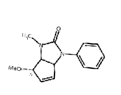 CO[C@H]1C=CC2C1N(C)C(=O)N2c1ccccc1